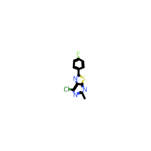 Cc1nc(Cl)c2nc(-c3ccc(F)cc3)sc2n1